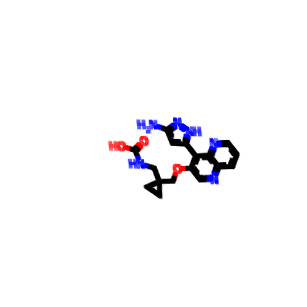 Nc1cc(-c2c(OCC3(CNC(=O)O)CC3)cnc3cccnc23)[nH]n1